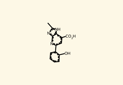 Cc1nc2nc(-c3ccccc3O)cc(C(=O)O)c2[nH]1